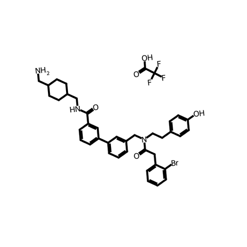 NCC1CCC(CNC(=O)c2cccc(-c3cccc(CN(CCc4ccc(O)cc4)C(=O)Cc4ccccc4Br)c3)c2)CC1.O=C(O)C(F)(F)F